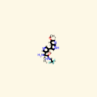 COc1cnc2[nH]cc(-c3cncc([C@](C)(N)C(=O)NCC(F)(F)F)c3)c2c1